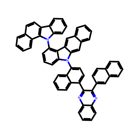 c1ccc2cc(-c3nc4ccccc4nc3-c3ccc(-n4c5cc6ccccc6cc5c5c(-n6c7ccccc7c7ccc8ccccc8c76)cccc54)c4ccccc34)ccc2c1